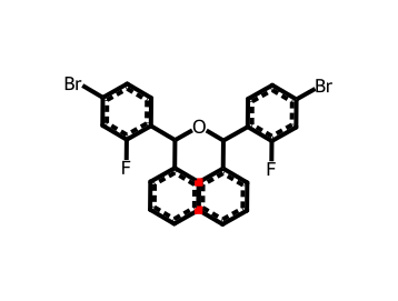 Fc1cc(Br)ccc1C(OC(c1ccccc1)c1ccc(Br)cc1F)c1ccccc1